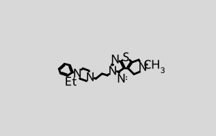 CCc1ccccc1N1CCN(CCCN2C=Nc3sc4c(c3C2[N])CCN(C)C4)CC1